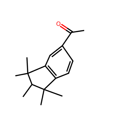 CC(=O)c1ccc2c(c1)C(C)(C)C(C)C2(C)C